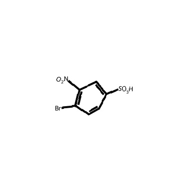 O=[N+]([O-])c1cc(S(=O)(=O)O)ccc1Br